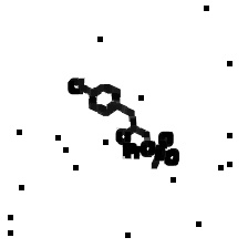 CC(C)OC(COS(C)(=O)=O)Cc1ccc(Cl)cc1